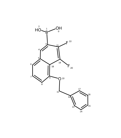 OB(O)c1cc2cccc(OCc3ccccc3)c2c(F)c1F